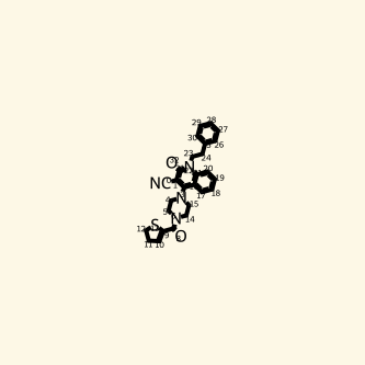 N#Cc1c(N2CCN(C(=O)C3=CCCS3)CC2)c2ccccc2n(CCc2ccccc2)c1=O